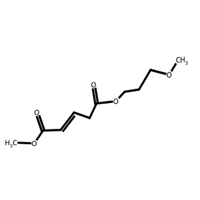 COCCCOC(=O)CC=CC(=O)OC